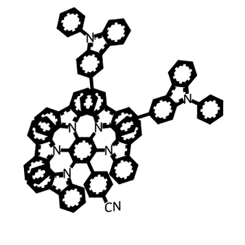 N#Cc1ccc(-c2c(-n3c4ccccc4c4ccccc43)c(-n3c4ccccc4c4ccccc43)c(-n3c4ccccc4c4ccccc43)c(-n3c4ccc(-c5ccc6c(c5)c5ccccc5n6-c5ccccc5)cc4c4cc(-c5ccc6c(c5)c5ccccc5n6-c5ccccc5)ccc43)c2-n2c3ccccc3c3ccccc32)cc1